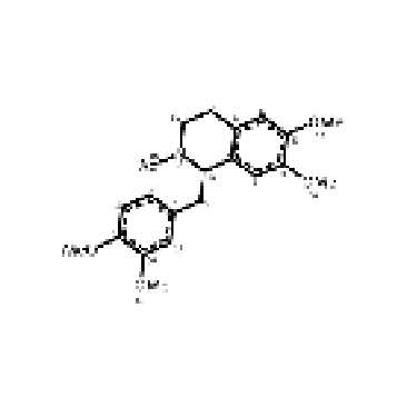 COc1ccc(C[C@@H]2c3cc(OC)c(OC)cc3CCN2C(C)=O)cc1OC